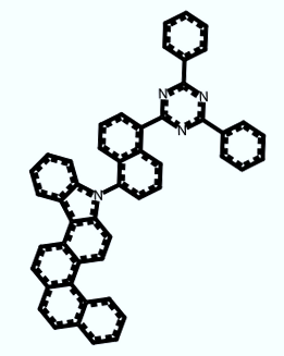 c1ccc(-c2nc(-c3ccccc3)nc(-c3cccc4c(-n5c6ccccc6c6c7ccc8ccc9ccccc9c8c7ccc65)cccc34)n2)cc1